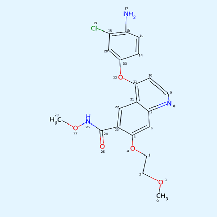 COCCOc1cc2nccc(Oc3ccc(N)c(Cl)c3)c2cc1C(=O)NOC